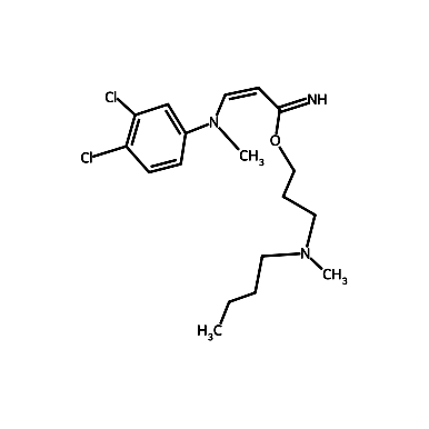 CCCCN(C)CCCOC(=N)/C=C\N(C)c1ccc(Cl)c(Cl)c1